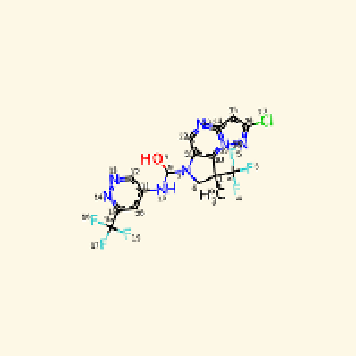 C[C@@]1(C(F)(F)F)CN(C(O)Nc2cnnc(C(F)(F)F)c2)c2cnc3cc(Cl)nn3c21